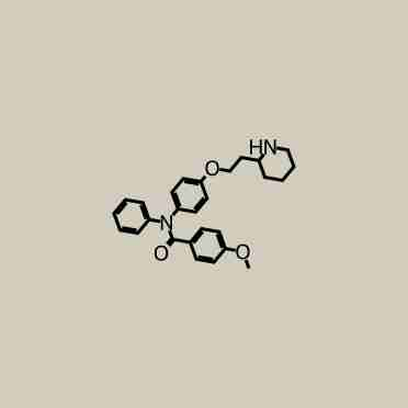 COc1ccc(C(=O)N(c2ccccc2)c2ccc(OCCC3CCCCN3)cc2)cc1